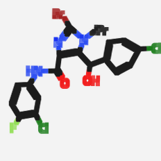 CC(C)n1c(Br)nc(C(=O)Nc2ccc(F)c(Cl)c2)c1C(O)c1ccc(Cl)cc1